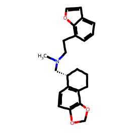 CN(CCc1cccc2ccoc12)C[C@@H]1CCCc2c1ccc1c2OCO1